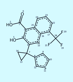 O=C(O)c1c(O)c(C2(c3ccsc3)CC2)nc2c(C(F)(F)F)cccc12